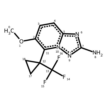 COc1ccc2nc(N)nn2c1C1(C(F)(F)F)CC1